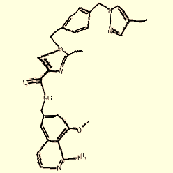 COc1cc(CNC(=O)c2cn(Cc3ccc(Cn4cc(C)cn4)cc3)c(C)n2)cc2ccnc(N)c12